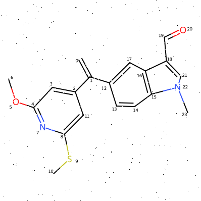 C=C(c1cc(OC)nc(SC)c1)c1ccc2c(c1)c(C=O)cn2C